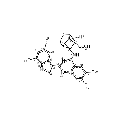 O=C(O)[C@@H]1C2CCC(CC2)C1Nc1nc(-c2c[nH]c3c(F)cc(F)cc23)nc2cc(F)c(F)cc12